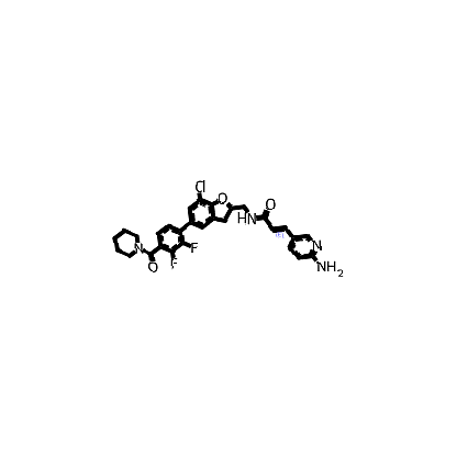 Nc1ccc(/C=C/C(=O)NCC2Cc3cc(-c4ccc(C(=O)N5CCCCC5)c(F)c4F)cc(Cl)c3O2)cn1